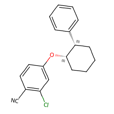 N#Cc1ccc(O[C@H]2CCCC[C@H]2c2ccccc2)cc1Cl